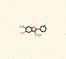 CCOC(=O)c1c(-c2cccc(F)c2)oc2cc([N+](=O)[O-])c(O)cc12